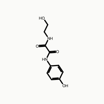 O=C(NCCO)C(=O)Nc1ccc(O)cc1